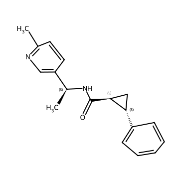 Cc1ccc([C@H](C)NC(=O)[C@H]2C[C@@H]2c2ccccc2)cn1